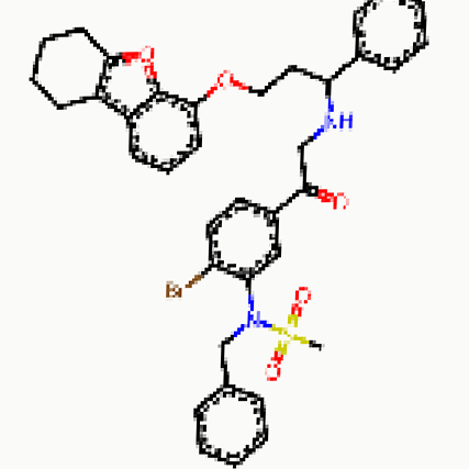 CS(=O)(=O)N(Cc1ccccc1)c1cc(C(=O)CNC(CCOc2cccc3c4c(oc23)CCCC4)c2ccccc2)ccc1Br